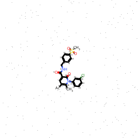 CC(=O)c1cc(C(=O)NCc2ccc(S(C)(=O)=O)cc2)c(=O)n(-c2cccc(Cl)c2)c1C